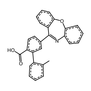 Cc1ccccc1-c1cc(C2=Nc3ccccc3Oc3ccccc32)ccc1C(=O)O